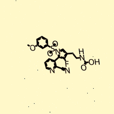 COc1cccc(S(=O)(=O)n2cc(CCNC(=O)O)c(F)c2-c2cccnc2C#N)c1